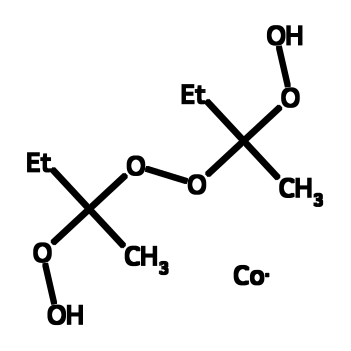 CCC(C)(OO)OOC(C)(CC)OO.[Co]